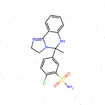 CC1(c2ccc(Cl)c(S(N)(=O)=O)c2)Nc2ccccc2C2=NCCN21